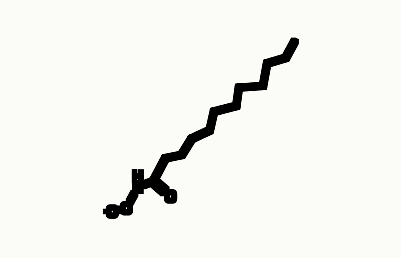 CCCCCCCCCCCC(=O)NO[O]